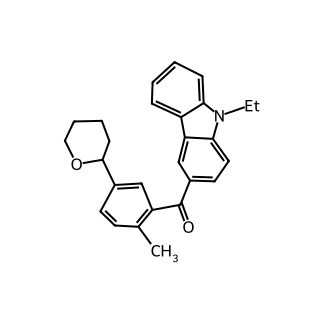 CCn1c2ccccc2c2cc(C(=O)c3cc(C4CCCCO4)ccc3C)ccc21